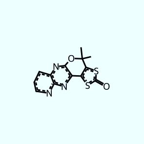 CC1(C)Oc2nc3cccnc3nc2-c2sc(=O)sc21